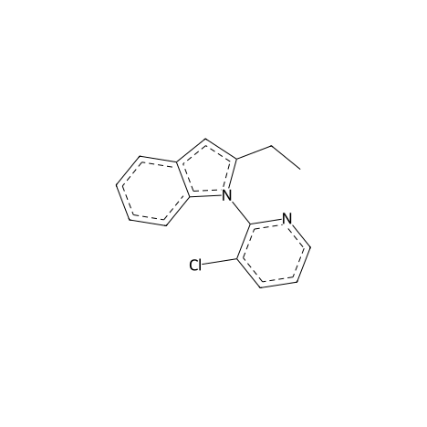 CCc1cc2ccccc2n1-c1ncccc1Cl